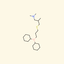 CC(CSCCCB(C1CCCCC1)C1CCCCC1)CN(C)C